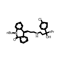 CCCCN1C(=O)c2ccccc2C(=CCCNCCC(O)(CCC)c2ccc(Cl)cc2)c2ccccc21